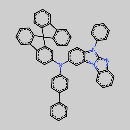 c1ccc(-c2ccc(N(c3ccc4c(c3)C3(c5ccccc5-c5ccccc53)c3ccccc3-4)c3ccc4c(c3)n3c5ccccc5nc3n4-c3ccccc3)cc2)cc1